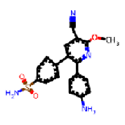 COc1nc(-c2ccc(N)cc2)c(-c2ccc(S(N)(=O)=O)cc2)cc1C#N